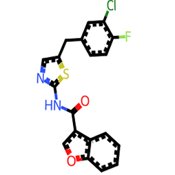 O=C(Nc1ncc(Cc2ccc(F)c(Cl)c2)s1)c1coc2ccccc12